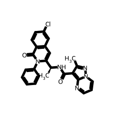 Cc1nn2cccnc2c1C(=O)N[C@@H](C)c1cc2cc(Cl)ccc2c(=O)n1-c1ccccc1